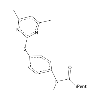 CCCCCC(=O)N(C)c1ccc(Sc2nc(C)cc(C)n2)cc1